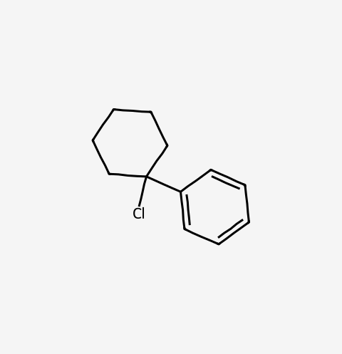 ClC1(c2ccccc2)CCCCC1